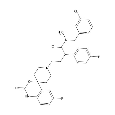 CN(Cc1cccc(Cl)c1)C(=O)C(CCN1CCC2(CC1)OC(=O)Nc1ccc(F)cc12)c1ccc(F)cc1